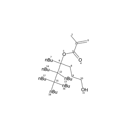 C=C(C)C(=O)OC(CCCC)(CCCO)C(CCCC)(CCCC)C(CCCC)(CCCC)CCCC